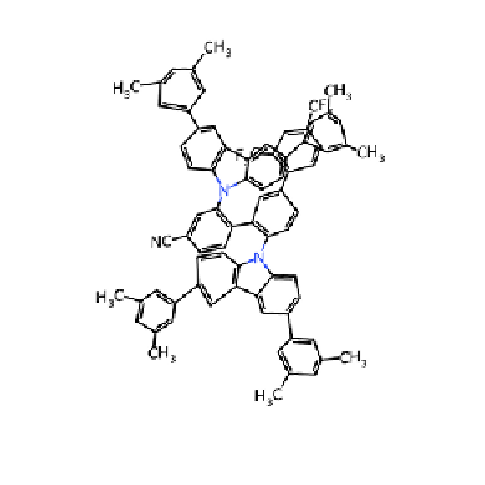 Cc1cc(C)cc(-c2ccc3c(c2)c2cc(-c4cc(C)cc(C)c4)ccc2n3-c2ccc(-c3ccc(C(F)(F)F)cc3C(F)(F)F)cc2-c2ccc(C#N)cc2-n2c3ccc(-c4cc(C)cc(C)c4)cc3c3cc(-c4cc(C)cc(C)c4)ccc32)c1